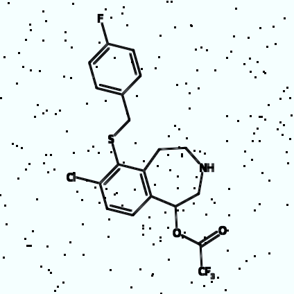 O=C(OC1CNCCc2c1ccc(Cl)c2SCc1ccc(F)cc1)C(F)(F)F